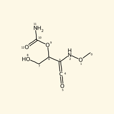 CONC(=C=O)C(CO)OC(N)=O